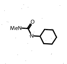 CNC(=O)[N]C1CCCCC1